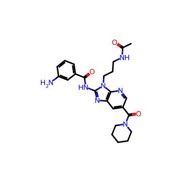 CC(=O)NCCCn1c(NC(=O)c2cccc(N)c2)nc2cc(C(=O)N3CCCCC3)cnc21